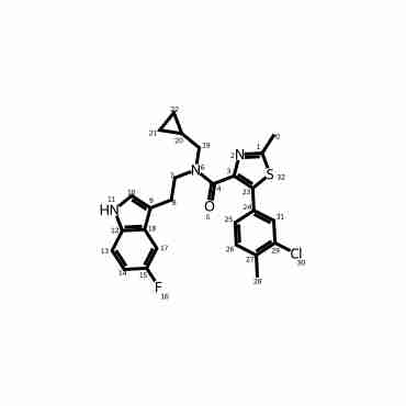 Cc1nc(C(=O)N(CCc2c[nH]c3ccc(F)cc23)CC2CC2)c(-c2ccc(C)c(Cl)c2)s1